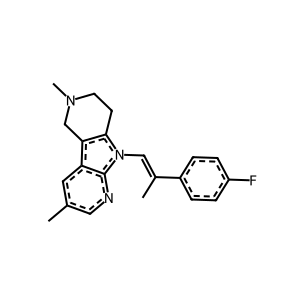 CC(=Cn1c2c(c3cc(C)cnc31)CN(C)CC2)c1ccc(F)cc1